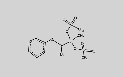 CCC(Oc1ccccc1)[Si](C)(OS(=O)(=O)C(F)(F)F)OS(=O)(=O)C(F)(F)F